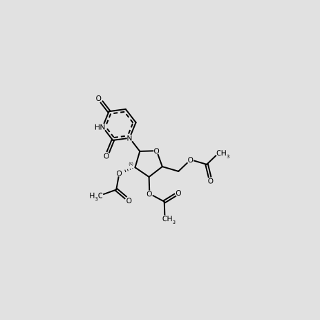 CC(=O)OCC1OC(n2ccc(=O)[nH]c2=O)[C@@H](OC(C)=O)C1OC(C)=O